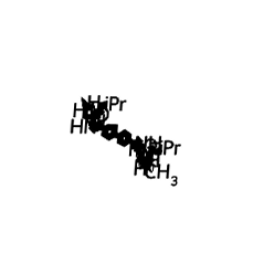 CC(C)CC(=O)N1[C@@H]2[C@H](C)[C@@H]2C[C@H]1c1nc(-c2ccc(-c3ccc(-c4c[nH]c([C@@H]5C[C@H]6C[C@H]6N5C(=O)CC(C)C)n4)cc3)cc2)c[nH]1